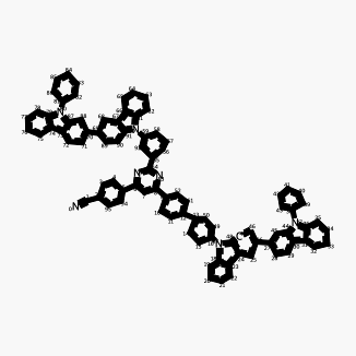 N#Cc1ccc(-c2cc(-c3ccc(-c4ccc(-n5c6ccccc6c6cc(-c7ccc8c9ccccc9n(-c9ccccc9)c8c7)ccc65)cc4)cc3)nc(-c3cccc(-n4c5ccccc5c5cc(-c6ccc7c8ccccc8n(-c8ccccc8)c7c6)ccc54)c3)n2)cc1